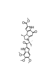 COC(=O)c1cc2c([nH]1)C(=O)C=C1C2[C@H](C)CN1[C@@](C)(I)C(=O)c1cc2cc(OC)c(OC)c(OC)c2[nH]1